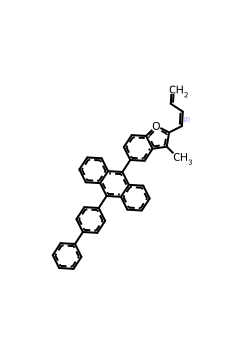 C=C/C=C\c1oc2ccc(-c3c4ccccc4c(-c4ccc(-c5ccccc5)cc4)c4ccccc34)cc2c1C